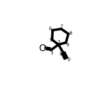 C#CC1(C=O)CCCCC1